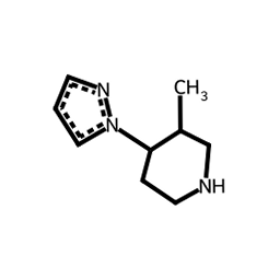 CC1CNCCC1n1cccn1